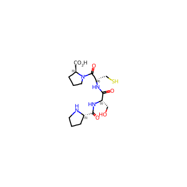 O=C(N[C@@H](CO)C(=O)N[C@@H](CS)C(=O)N1CCC[C@H]1C(=O)O)[C@@H]1CCCN1